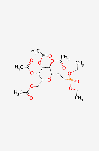 CCOP(=O)(CC[C@@H]1O[C@H](COC(C)=O)[C@H](OC(C)=O)[C@H](OC(C)=O)[C@H]1OC(C)=O)OCC